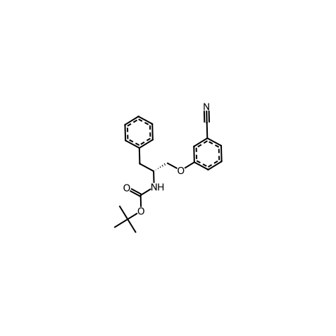 CC(C)(C)OC(=O)N[C@@H](COc1cccc(C#N)c1)Cc1ccccc1